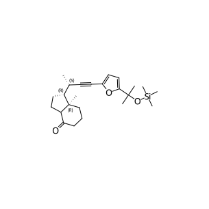 C[C@H](C#Cc1ccc(C(C)(C)O[Si](C)(C)C)o1)[C@H]1CCC2C(=O)CCC[C@@]21C